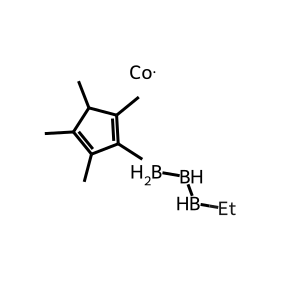 BBBCC.CC1=C(C)C(C)C(C)=C1C.[Co]